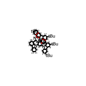 CC(C)(C)c1ccc2c(c1)c1cc(C(C)(C)C)cc3c1n2-c1cc(-n2c4ccccc4c4cccc(-c5nc(-c6ccccc6)nc(-c6ccccc6)n5)c42)cc2c1B3c1cc(C(C)(C)C)cc3c4cc(C(C)(C)C)ccc4n-2c13